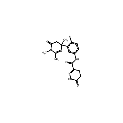 CN1C(=O)CC(C)(c2cc(NC(=O)C3=NNC(=O)CC3)ccc2F)N=C1N